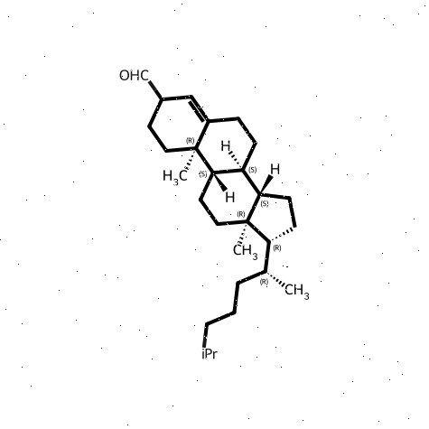 CC(C)CCC[C@@H](C)[C@H]1CC[C@H]2[C@@H]3CCC4=CC(C=O)CC[C@]4(C)[C@H]3CC[C@]12C